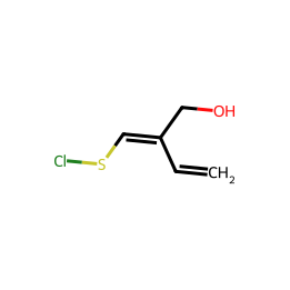 C=C/C(=C\SCl)CO